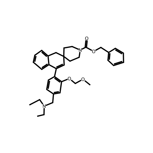 CCN(CC)Cc1ccc(C2=CC3(CCN(C(=O)OCc4ccccc4)CC3)Cc3ccccc32)c(OCOC)c1